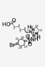 O=C(O)CCCC=C[C@H]1[C@@H]2CC[C@@H](C2)[C@@H]1NS(=O)(=O)c1ccc(Br)cc1